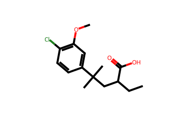 CCC(CC(C)(C)c1ccc(Cl)c(OC)c1)C(=O)O